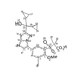 COc1c(F)cc(-c2c(C)nc3sc(C(O)(C4CC4)C4CC4)nn23)cc1S(=O)(=O)C(C)(C)C(=O)O